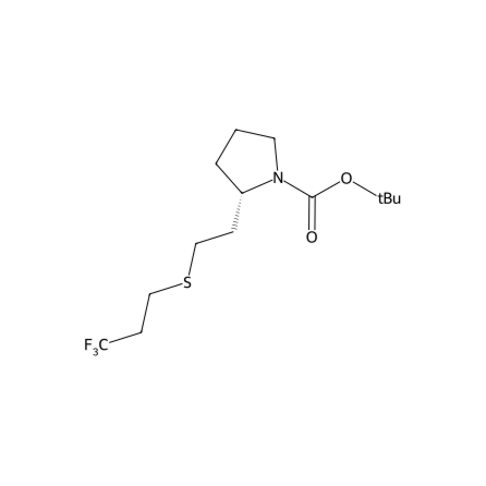 CC(C)(C)OC(=O)N1CCC[C@H]1CCSCCC(F)(F)F